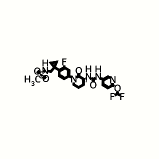 CS(=O)(=O)NCC1(c2ccc(N3CCC[C@@H](NC(=O)Nc4ccc(OC(F)F)nc4)C3=O)cc2F)CC1